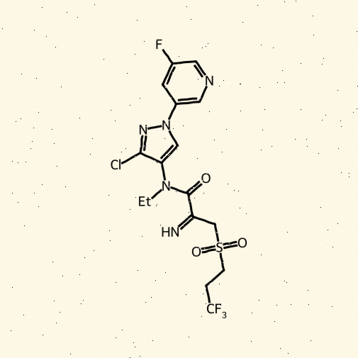 CCN(C(=O)C(=N)CS(=O)(=O)CCC(F)(F)F)c1cn(-c2cncc(F)c2)nc1Cl